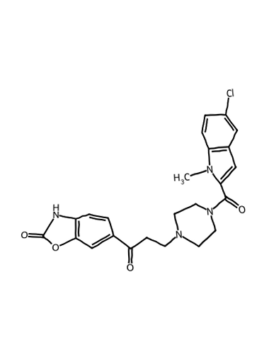 Cn1c(C(=O)N2CCN(CCC(=O)c3ccc4[nH]c(=O)oc4c3)CC2)cc2cc(Cl)ccc21